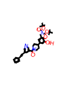 CC(C)(C)OC(=O)N(Cc1cc(O)cc(C2=CCN(C(=O)c3cncc(C#Cc4ccccc4)c3)CC2)c1)C(=O)OC(C)(C)C